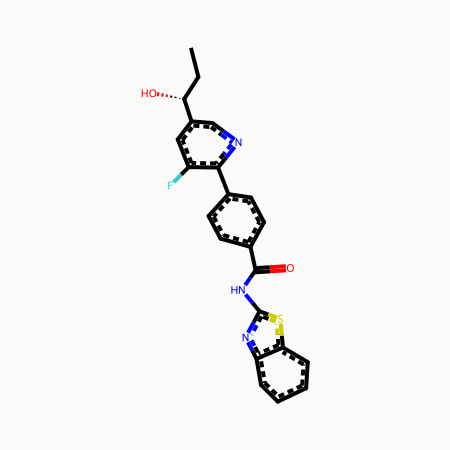 CC[C@@H](O)c1cnc(-c2ccc(C(=O)Nc3nc4ccccc4s3)cc2)c(F)c1